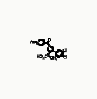 CC(=O)N1CCC(C(=O)N2C[C@H](c3ccc(Cl)c(Cl)c3)[C@@H](N(C)C(=O)O)C2)CC1